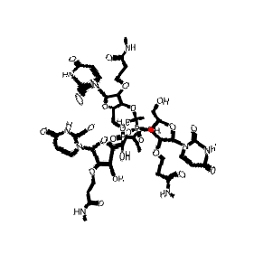 BC(C)(OC1C(COP(=O)(O)C(C)OC2C(CO)OC(n3ccc(=O)[nH]c3=O)C2OCCC(=O)NC)OC(n2ccc(=O)[nH]c2=O)C1OCCC(=O)NC)P(=O)(O)OCC1OC(n2ccc(=O)[nH]c2=O)C(OCCC(=O)NC)C1O